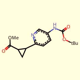 COC(=O)C1CC1c1ccc(NC(=O)OC(C)(C)C)cn1